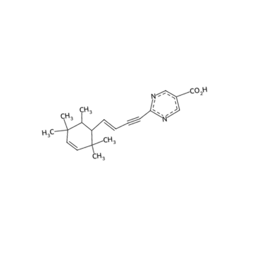 CC1C(C=CC#Cc2ncc(C(=O)O)cn2)C(C)(C)C=CC1(C)C